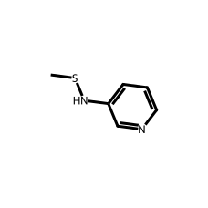 CSNc1cccnc1